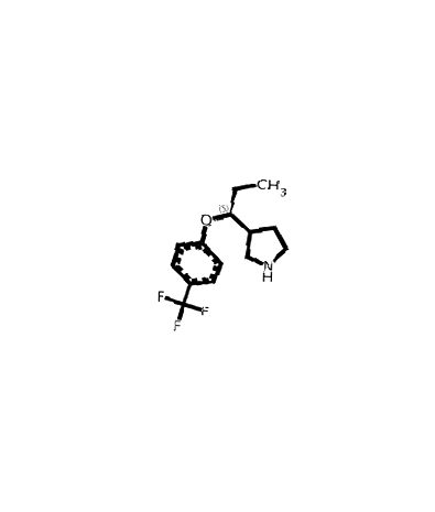 CC[C@H](Oc1ccc(C(F)(F)F)cc1)C1CCNC1